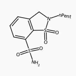 CCCCCN1Cc2cccc(S(N)(=O)=O)c2S1(=O)=O